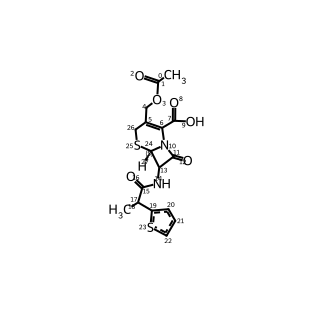 CC(=O)OCC1=C(C(=O)O)N2C(=O)C(NC(=O)C(C)c3cccs3)[C@@H]2SC1